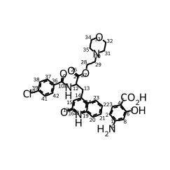 Nc1ccc(C(=O)O)c(O)c1.O=C(NC(Cc1cc(=O)[nH]c2ccccc12)C(=O)OCCN1CCOCC1)c1ccc(Cl)cc1